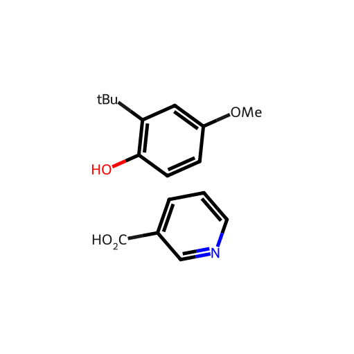 COc1ccc(O)c(C(C)(C)C)c1.O=C(O)c1cccnc1